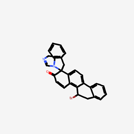 O=C1C=Cc2c(ccc3c2C(Br)Cc2ccccc2-3)C1(Cc1ccccc1)N1C=NCC1